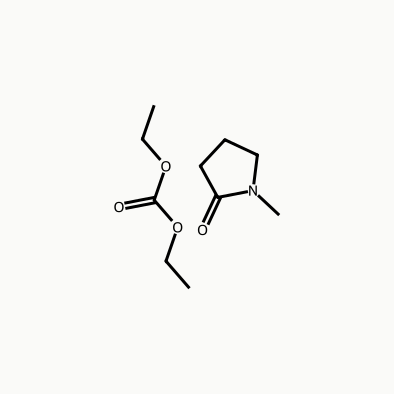 CCOC(=O)OCC.CN1CCCC1=O